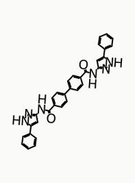 O=C(Nc1cc(-c2ccccc2)[nH]n1)c1ccc(-c2ccc(C(=O)Nc3cc(-c4ccccc4)[nH]n3)cc2)cc1